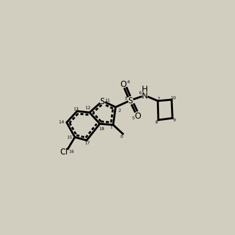 Cc1c(S(=O)(=O)NC2CCC2)sc2ccc(Cl)cc12